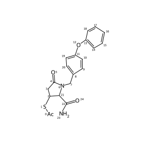 CC(=O)SC1CC(=O)N(Cc2ccc(Oc3ccccc3)cc2)C1C(N)=O